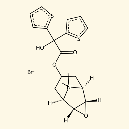 C[N+]1(C)[C@@H]2CC(OC(=O)C(O)(c3cccs3)c3cccs3)C[C@H]1[C@@H]1O[C@@H]12.[Br-]